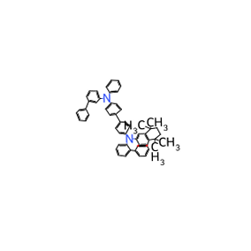 CC1(C)CCC(C)(C)c2cc(N(c3ccc(-c4ccc(N(c5ccccc5)c5cccc(-c6ccccc6)c5)cc4)cc3)c3ccccc3-c3ccccc3)ccc21